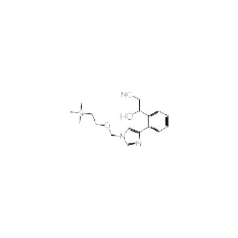 C[Si](C)(C)CCOCn1cnc(-c2ccccc2C(O)CC#N)c1